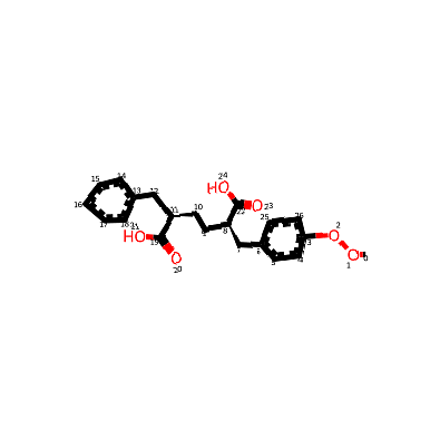 COOc1ccc(C[C@@H](CC[C@H](Cc2ccccc2)C(=O)O)C(=O)O)cc1